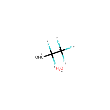 O.O=CC(F)(F)C(F)(F)F